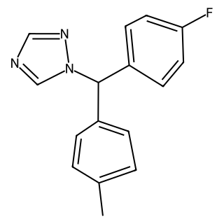 Cc1ccc(C(c2ccc(F)cc2)n2cncn2)cc1